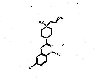 C=CC[N+]1(C)CCN(C(=O)Nc2cc(Cl)ccc2OC)CC1.[I-]